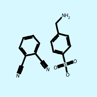 N#Cc1ccccc1C#N.NCc1ccc(S([O])(=O)=O)cc1